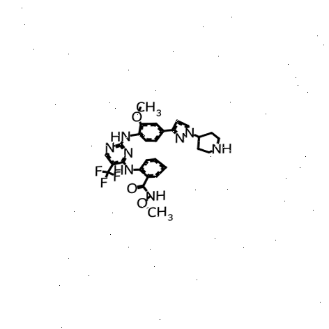 CONC(=O)c1ccccc1Nc1nc(Nc2ccc(-c3ccn(C4CCNCC4)n3)cc2OC)ncc1C(F)(F)F